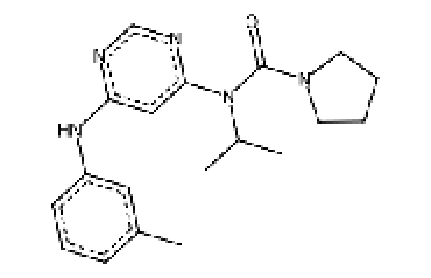 Cc1cccc(Nc2cc(N(C(=O)N3CCCC3)C(C)C)ncn2)c1